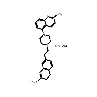 CCOC(=O)C1=Nc2cc(CCN3CCN(c4cccc5nc(C)ccc45)CC3)ccc2OC1.Cl.Cl